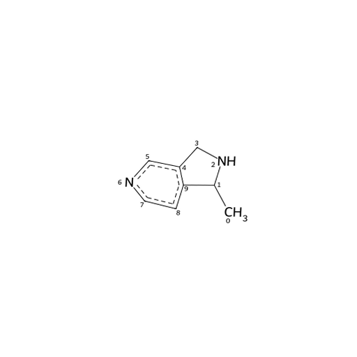 CC1NCc2cnccc21